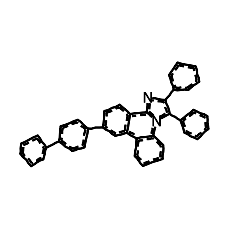 c1ccc(-c2ccc(-c3ccc4c(c3)c3ccccc3n3c(-c5ccccc5)c(-c5ccccc5)nc43)cc2)cc1